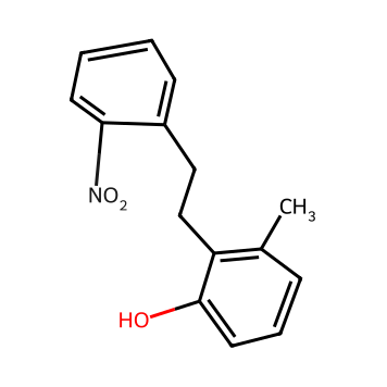 Cc1cccc(O)c1CCc1ccccc1[N+](=O)[O-]